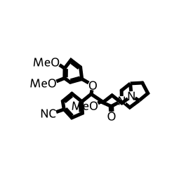 COCC(=O)N1CC2CCC(C1)N2CCCC(Oc1ccc(OC)c(OC)c1)c1ccc(C#N)cc1